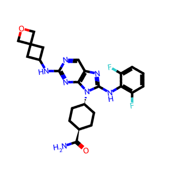 NC(=O)[C@H]1CC[C@H](n2c(Nc3c(F)cccc3F)nc3cnc(NC4CC5(COC5)C4)nc32)CC1